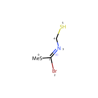 CS/C(Br)=N\CS